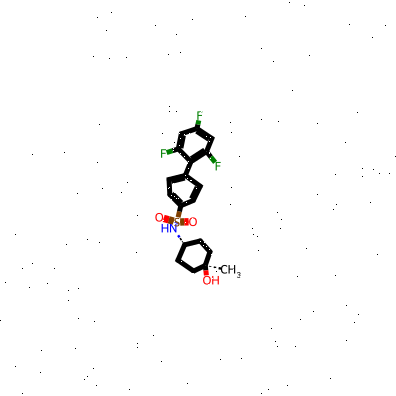 C[C@]1(O)CC[C@H](NS(=O)(=O)c2ccc(-c3c(F)cc(F)cc3F)cc2)CC1